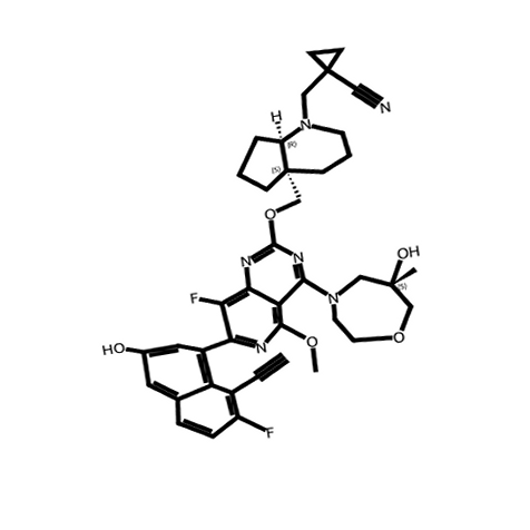 C#Cc1c(F)ccc2cc(O)cc(-c3nc(OC)c4c(N5CCOC[C@@](C)(O)C5)nc(OC[C@]56CCC[C@H]5N(CC5(C#N)CC5)CCC6)nc4c3F)c12